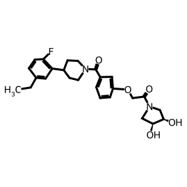 CCc1ccc(F)c(C2CCN(C(=O)c3cccc(OCC(=O)N4C[C@@H](O)[C@@H](O)C4)c3)CC2)c1